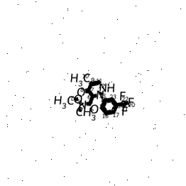 CON(C)C(=O)C1C(=O)C(C)=CNN1c1cccc(C(F)(F)F)c1